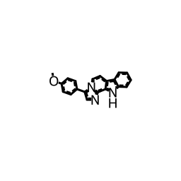 COc1ccc(-c2cnc3c4[nH]c5ccccc5c4ccn23)cc1